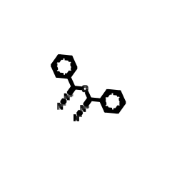 [N-]=[N+]=C(OC(=[N+]=[N-])c1ccccc1)c1ccccc1